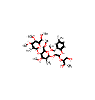 CCCCOCC1O[C@@H](O[C@H](COCCCC)[C@@H](Oc2ccc(OC)cc2)OC(CO)[C@H](C)O)[C@@H](C)C(OCCCC)[C@@H]1O[C@@H]1OC(COCCCC)[C@H](OCCCC)C(OCCCC)[C@@H]1OC(C)=O